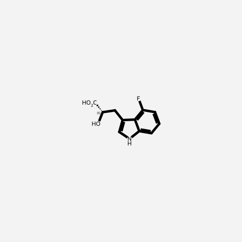 O=C(O)[C@@H](O)Cc1c[nH]c2cccc(F)c12